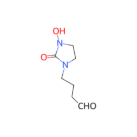 O=CCCCN1CCN(O)C1=O